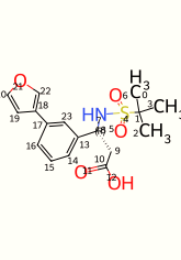 CC(C)(C)S(=O)(=O)N[C@H](CC(=O)O)c1cccc(-c2ccoc2)c1